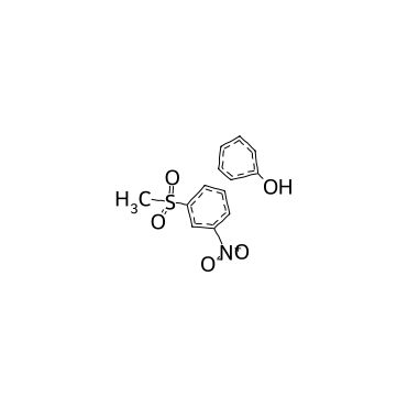 CS(=O)(=O)c1cccc([N+](=O)[O-])c1.Oc1ccccc1